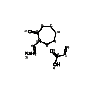 C=CC(=O)O.C=CN1CCCCCC1=O.[NaH]